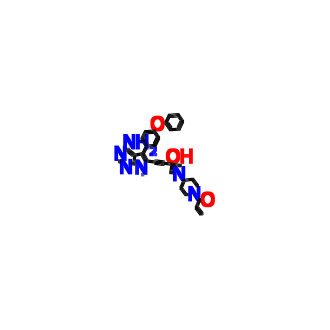 C=CC(=O)N1CCC(N2CC(O)(C#Cc3c(-c4ccc(Oc5ccccc5)cc4)c4c(N)ncnc4n3C)C2)CC1